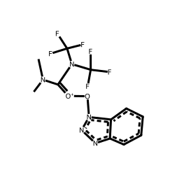 CN(C)C(=[O+]On1nnc2ccccc21)N(C(F)(F)F)C(F)(F)F